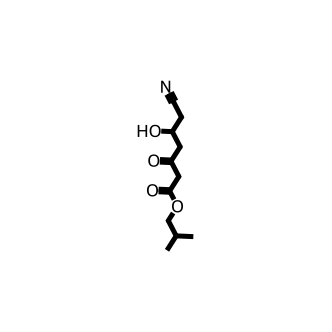 CC(C)COC(=O)CC(=O)CC(O)CC#N